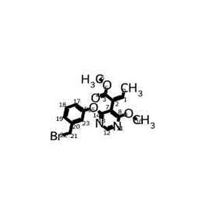 CC=C(C(=O)OC)c1c(OC)ncnc1Oc1cccc(CBr)c1